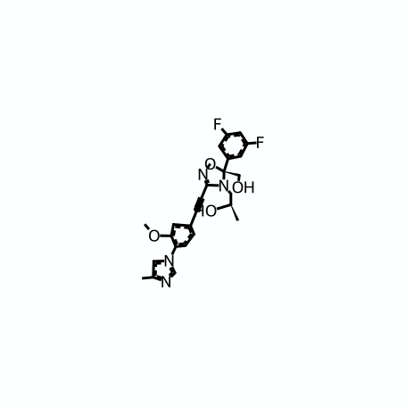 COc1cc(C#CC2=NO[C@](CO)(c3cc(F)cc(F)c3)N2C[C@@H](C)O)ccc1-n1cnc(C)c1